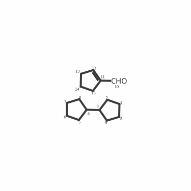 C1CCC(C2CCCC2)C1.O=CC1=CCCC1